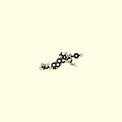 CC(C)C1=C2[C@H]3CCC4[C@@]5(C)CC[C@H](OC(=O)CC(C)(C)C(=O)O)C(C)(C)[C@@H]5CC[C@@]4(C)[C@]3(C)CC[C@@]2([C@H](O)c2nnc(-c3ccc(Cl)cc3)n2CCN)CC1=O